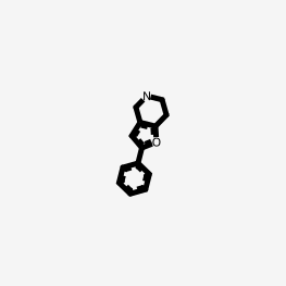 c1ccc(-c2cc3c(o2)CC[N]C3)cc1